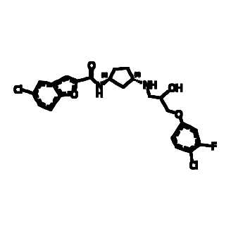 O=C(N[C@H]1CC[C@H](NCC(O)COc2ccc(Cl)c(F)c2)C1)c1cc2cc(Cl)ccc2o1